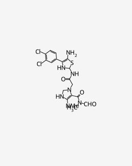 CNC1=C(C(=O)N(C)C=O)N(CC(=O)NC2NC(c3ccc(Cl)c(Cl)c3)=C(N)S2)CN1